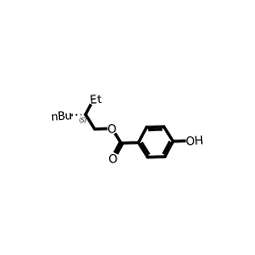 CCCC[C@H](CC)COC(=O)c1ccc(O)cc1